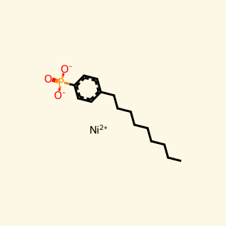 CCCCCCCCCc1ccc(P(=O)([O-])[O-])cc1.[Ni+2]